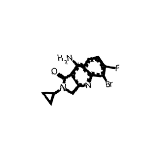 Nc1c2c(nc3c(Br)c(F)ccc13)CN(C1CC1)C2=O